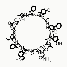 CCCC[C@H]1C(=O)N(C)CC(=O)N[C@@H](CC(=O)O)C(=O)N[C@@H](C(C)C)C(=O)N(C)[C@@H](Cc2ccccc2)C(=O)N[C@@H](Cc2ccc(O)cc2)C(=O)N(C)CC(=O)N[C@@H](Cc2c[nH]c3ccccc23)C(=O)N[C@@H](Cc2ccc(O)cc2)C(=O)N[C@@H](CC(C)C)C(=O)N[C@H](C(=O)NCC(N)=O)CSCC(=O)N[C@@H](Cc2cccc3[nH]ccc23)C(=O)N(C)[C@@H](Cc2ccccc2)C(=O)N1C